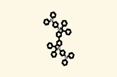 c1ccc(-c2c(-c3ccccc3)n(-c3ccc(N(c4ccccc4)c4ccccc4)cc3)c3ccc(-c4ccc5c(c4)c(-c4ccccc4)c(-c4ccccc4)n5-c4ccc(N(c5ccccc5)c5ccccc5)cc4)cc23)cc1